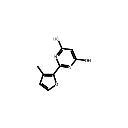 Cc1ccoc1-c1nc(O)cc(O)n1